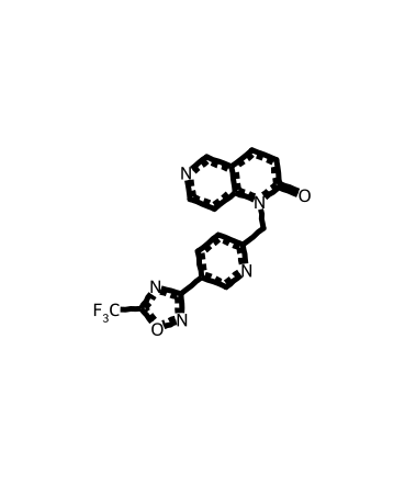 O=c1ccc2cnccc2n1Cc1ccc(-c2noc(C(F)(F)F)n2)cn1